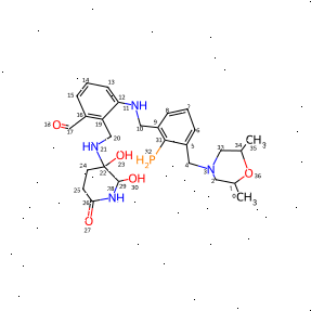 CC1CN(Cc2cccc(CNc3cccc(C=O)c3CNC3(O)CCC(=O)NC3O)c2P)CC(C)O1